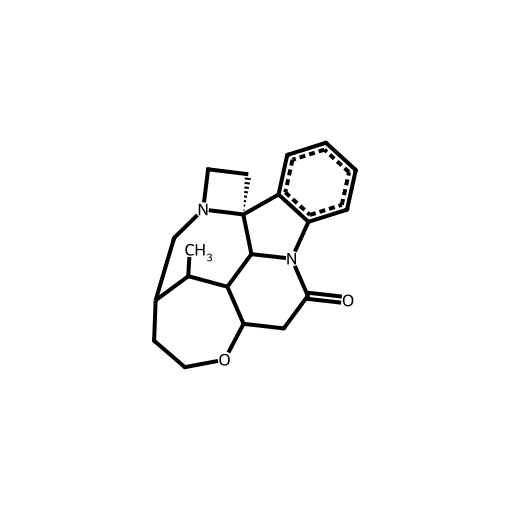 CC1C2CCOC3CC(=O)N4c5ccccc5[C@@]5(CCN5C2)C4C31